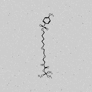 Cc1ccc(S(=O)(=O)OCCCCCOCCOCCNC(=O)OC(C)(C)C)cc1